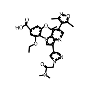 CCOc1cc(C(=O)O)cc(OCC)c1-n1cc(-c2cnn(CC(=O)N(C)C)c2)c2ncc(-c3c(C)noc3C)cc21